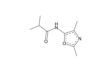 Cc1nc(C)c(NC(=O)C(C)C)o1